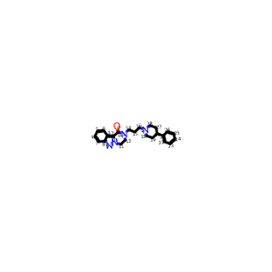 O=C1c2c3ccccc3nn2CCN1CCCN1CCC(c2ccccc2)CC1